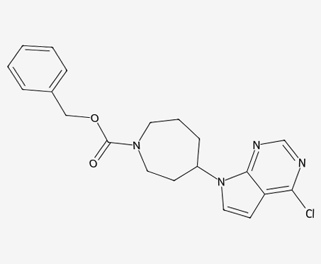 O=C(OCc1ccccc1)N1CCCC(n2ccc3c(Cl)ncnc32)CC1